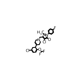 Cn1c(CN2CC=C(C3CC(Cl)=CC=C3OC(F)F)CC2)c(Cl)c(=O)n1-c1ccc(F)cc1